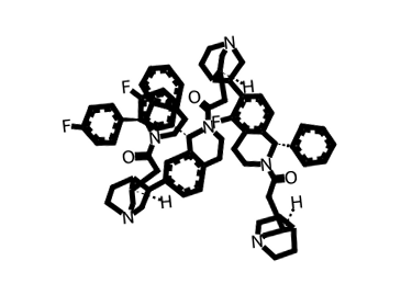 O=C(C[C@H]1CN2CCC1C(c1ccc3c(c1)[C@H](c1ccc(F)cc1)N(C(=O)C[C@@H]1CN4CCC1C(c1ccc5c(c1F)CCN(C(=O)C[C@@H]1CN6CCC1CC6)[C@H]5c1ccccc1)C4)CC3)C2)N1CCc2ccccc2[C@@H]1c1ccc(F)cc1